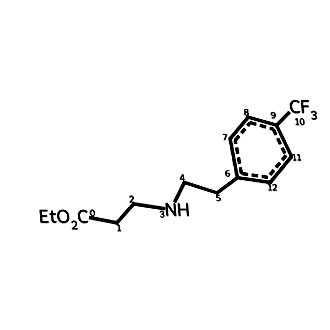 CCOC(=O)CCNCCc1ccc(C(F)(F)F)cc1